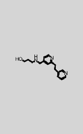 OCCCNCc1ccnc(CCc2cccnc2)c1